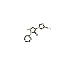 O=c1c(-n2cnc(C(F)(F)F)c2)c[nH]n1-c1ccccn1